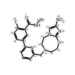 CC(C)NC(=O)c1cc(-c2cccc(CN3CCOc4nc([N+](=O)[O-])cn4CC3)n2)ccc1F